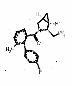 Cc1cccc(C(=O)N2C[C@H]3C[C@H]3[C@H]2CN)c1-c1ccc(F)cc1